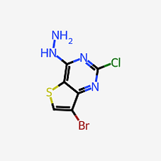 NNc1nc(Cl)nc2c(Br)csc12